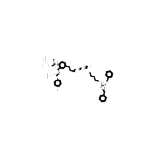 Cc1ccc(NC(=O)Nc2cc(CCC(=O)OCOC(=O)OCCCCCOP(=O)(OCc3ccccc3)OCc3ccccc3)ccc2N(CC(C)C)CC(C)C)cc1